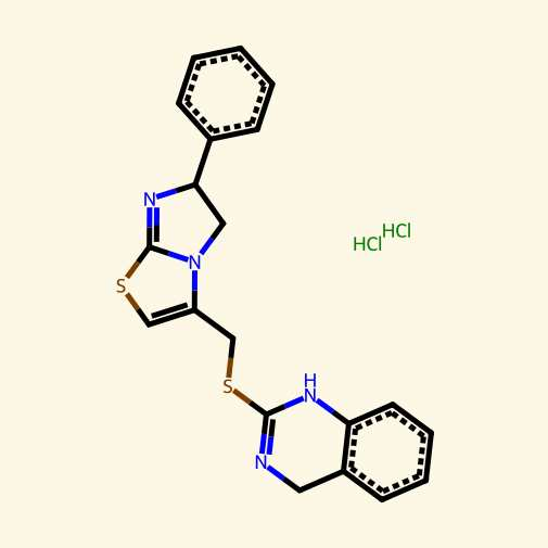 C1=C(CSC2=NCc3ccccc3N2)N2CC(c3ccccc3)N=C2S1.Cl.Cl